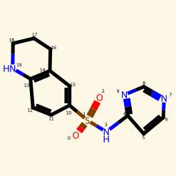 O=S(=O)(Nc1ccncn1)c1ccc2c(c1)CCCN2